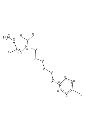 C/C(=C/[C@@H](CCCCCOc1ccc(C)cc1)C(C)C)ON